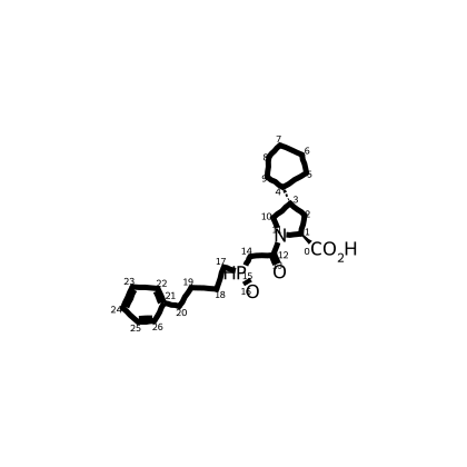 O=C(O)[C@@H]1C[C@@H](C2CCCCC2)CN1C(=O)C[PH](=O)CCCCc1ccccc1